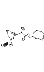 Nc1cccc(C(S)C(=O)OCc2ccccc2)c1